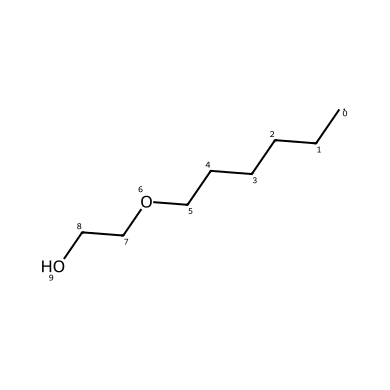 [CH2]CCCCCOCCO